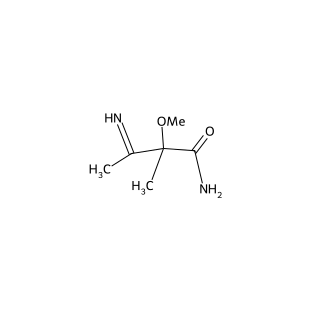 COC(C)(C(C)=N)C(N)=O